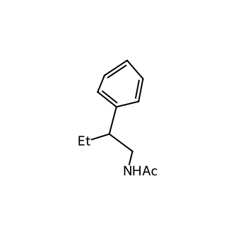 CCC(CNC(C)=O)c1ccccc1